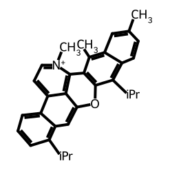 Cc1ccc2c(C(C)C)c3c(c(C)c2c1)-c1c2c(cc4c(C(C)C)cccc4c2cc[n+]1C)O3